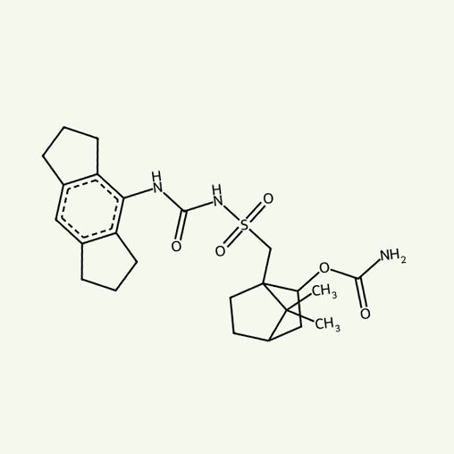 CC1(C)C2CCC1(CS(=O)(=O)NC(=O)Nc1c3c(cc4c1CCC4)CCC3)C(OC(N)=O)C2